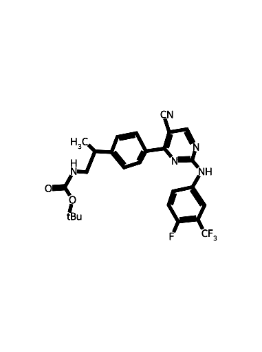 CC(CNC(=O)OC(C)(C)C)c1ccc(-c2nc(Nc3ccc(F)c(C(F)(F)F)c3)ncc2C#N)cc1